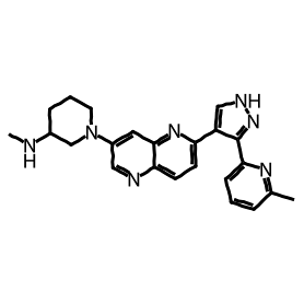 CNC1CCCN(c2cnc3ccc(-c4c[nH]nc4-c4cccc(C)n4)nc3c2)C1